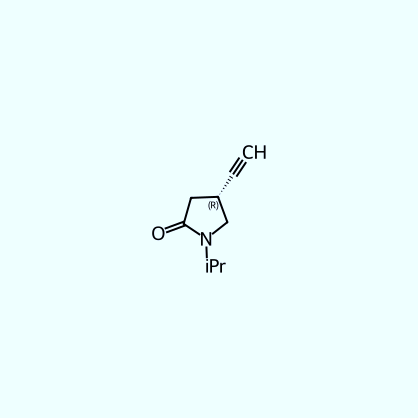 C#C[C@H]1CC(=O)N(C(C)C)C1